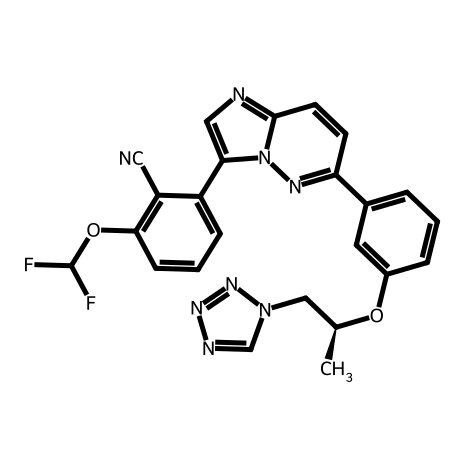 C[C@@H](Cn1cnnn1)Oc1cccc(-c2ccc3ncc(-c4cccc(OC(F)F)c4C#N)n3n2)c1